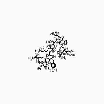 CC(=O)N[C@@H](CC(C)C)C(=O)N[C@@H](CCCNC(=N)N)C(=O)N1CCC[C@H]1C(=O)N[C@@H](Cc1c[nH]cn1)C(=O)N[C@H](C(=O)N[C@@H](CC(=O)O)C(=O)N[C@@H](CCCCN)C(=O)N[C@@H](Cc1ccc(O)cc1)C(=O)N[C@@H](CCCNC(=N)N)C(=O)N[C@@H](CC(C)C)C(N)=O)[C@@H](C)O